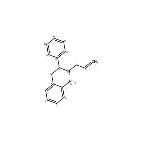 C=CC[N]C(Cc1ccccc1N)c1ccccc1